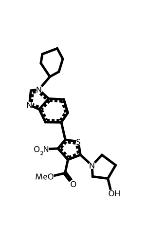 COC(=O)c1c(N2CCC(O)C2)sc(-c2ccc3c(c2)ncn3C2CCCCC2)c1[N+](=O)[O-]